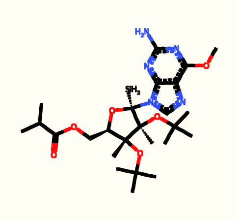 COc1nc(N)nc2c1ncn2[C@]1([SiH3])O[C@H](COC(=O)C(C)C)[C@@](C)(OC(C)(C)C)[C@]1(C)OC(C)(C)C